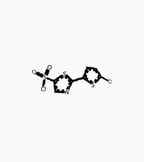 O=S(=O)(Cl)c1cnc(-c2ccc(Cl)s2)s1